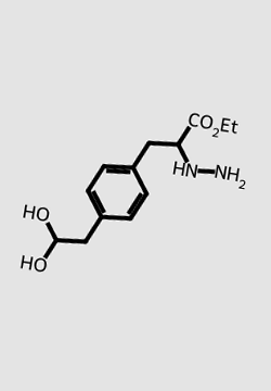 CCOC(=O)C(Cc1ccc(CC(O)O)cc1)NN